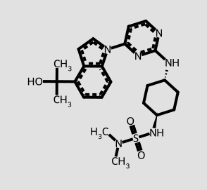 CN(C)S(=O)(=O)N[C@H]1CC[C@H](Nc2nccc(-n3ccc4c(C(C)(C)O)cccc43)n2)CC1